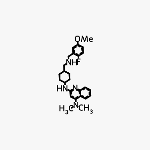 COc1ccc(F)c(CNCC2CCC(Nc3cc(N(C)C)c4ccccc4n3)CC2)c1